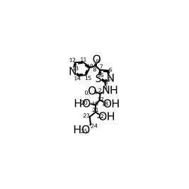 COC(Nc1ncc(C(=O)c2ccncc2)s1)C(O)C(O)C(O)CCO